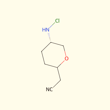 N#CCC1CC[C@H](NCl)CO1